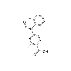 Cc1cc(N(C=O)c2ccccc2C)ccc1C(=O)O